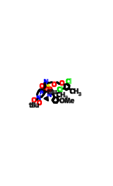 COc1cccc(CN(C(=O)C2=C(c3cnc(COCCOc4c(Cl)cc(C)cc4Cl)s3)CC3CN(C(=O)OC(C)(C)C)CC2N3C(=O)OC(C)(C)C)C2CC2)c1C